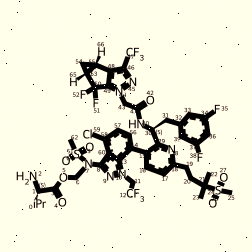 CC(C)[C@H](N)C(=O)OCN(c1nn(CC(F)(F)F)c2c(-c3ccc(CCC(C)(C)S(C)(=O)=O)nc3[C@H](Cc3cc(F)cc(F)c3)NC(=O)Cn3nc(C(F)(F)F)c4c3C(F)(F)[C@@H]3C[C@H]43)ccc(Cl)c12)S(C)(=O)=O